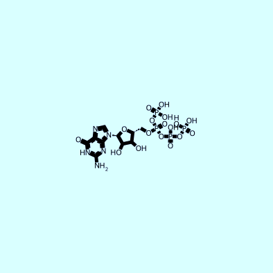 Nc1nc2c(ncn2[C@@H]2O[C@H](COP(=O)(OP(=O)(O)O)OP(=O)(O)OP(=O)(O)O)C(O)C2O)c(=O)[nH]1